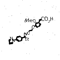 CC/C(=N\OCCOc1cccc(CC(=O)O)c1OC)c1ccc(-n2cccn2)cc1